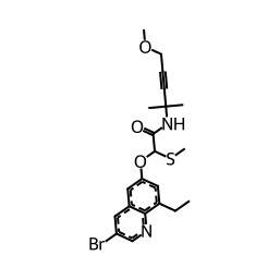 CCc1cc(OC(SC)C(=O)NC(C)(C)C#CCOC)cc2cc(Br)cnc12